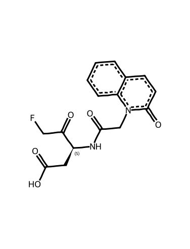 O=C(O)C[C@H](NC(=O)Cn1c(=O)ccc2ccccc21)C(=O)CF